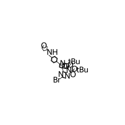 CC(C)(C)OC(=O)N(C(=O)OC(C)(C)C)c1ncc(Br)nc1-c1cc(-c2ccc(CN[C@@H]3CCOC3)cc2)no1